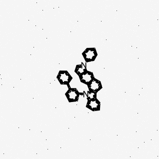 c1ccc(-c2cccc(-n3c4ccccc4c4ccc5cc6c(ccn6-c6ccccc6)cc5c43)c2)cc1